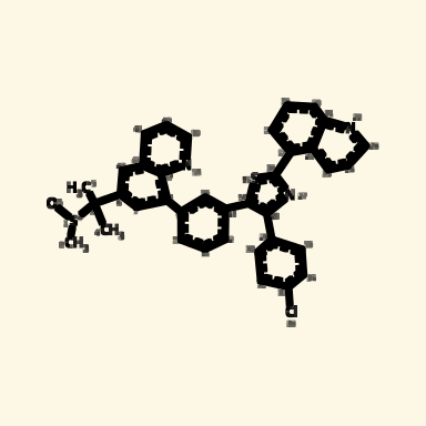 C[S+]([O-])C(C)(C)c1cc(-c2cccc(-c3sc(-c4cccc5ncccc45)nc3-c3ccc(Cl)cc3)c2)c2ncccc2c1